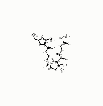 CCc1cc(C(=O)OCO[P@]2(=O)OCC(C)(C)[C@H](C(=O)NCCC(=O)OC)O2)n(C)n1